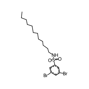 CCCCCCCCCCCCNS(=O)(=O)c1cc(Br)cc(Br)c1